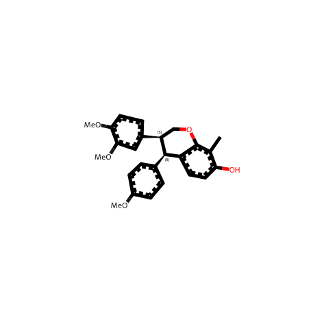 COc1ccc([C@@H]2c3ccc(O)c(C)c3OC[C@@H]2c2ccc(OC)c(OC)c2)cc1